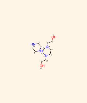 C1CNCCN1.OCCN1CCN(CCO)CC1